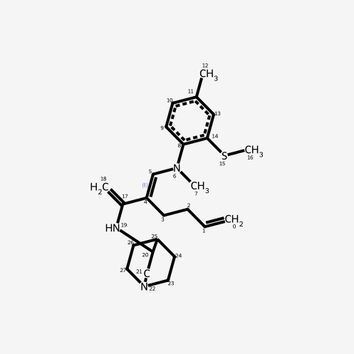 C=CCC/C(=C\N(C)c1ccc(C)cc1SC)C(=C)NC1CN2CCC1CC2